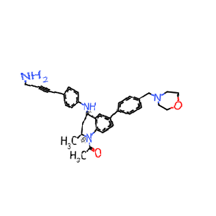 CC(=O)N1c2ccc(-c3ccc(CN4CCOCC4)cc3)cc2[C@H](Nc2ccc(C#CCN)cc2)C[C@@H]1C